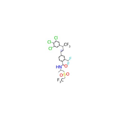 CC(CS(=O)(=O)CC(F)(F)F)NC(=O)c1ccc(/C=C/C(c2cc(Cl)c(Cl)c(Cl)c2)C(F)(F)F)cc1C(F)F